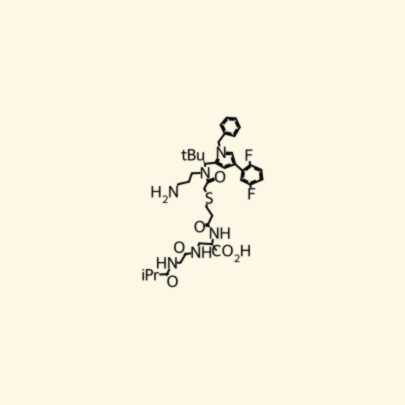 CC(C)C(=O)NCC(=O)NC[C@@H](NC(=O)CCSCC(=O)N(CCCN)[C@@H](c1cc(-c2cc(F)ccc2F)cn1Cc1ccccc1)C(C)(C)C)C(=O)O